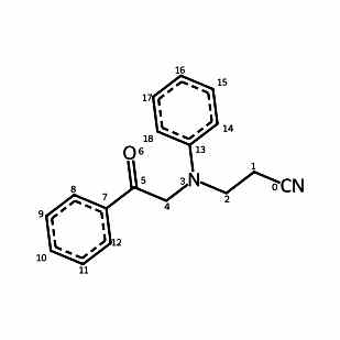 N#CCCN(CC(=O)c1ccccc1)c1ccccc1